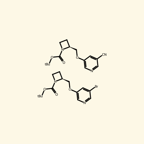 CC(C)(C)OC(=O)N1CC[C@H]1COc1cncc(Br)c1.CC(C)(C)OC(=O)N1CC[C@H]1COc1cncc(C#N)c1